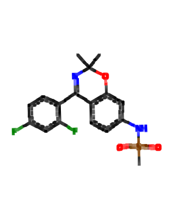 CC1(C)N=C(c2ccc(F)cc2F)c2ccc(NS(C)(=O)=O)cc2O1